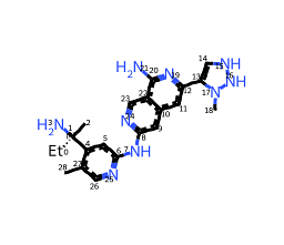 CC[C@@](C)(N)c1cc(Nc2cc3cc(C4=CNNN4C)nc(N)c3cn2)ncc1C